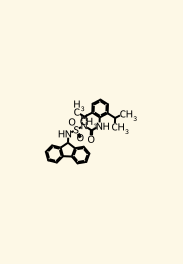 CC(C)c1cccc(C(C)C)c1NC(=O)NS(=O)(=O)NC1c2ccccc2-c2ccccc21